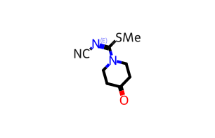 CS/C(=N/C#N)N1CCC(=O)CC1